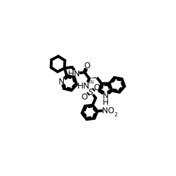 O=C(NCC1(c2ccccn2)CCCCC1)[C@H](Cc1c[nH]c2ccccc12)NS(=O)(=O)Cc1ccccc1[N+](=O)[O-]